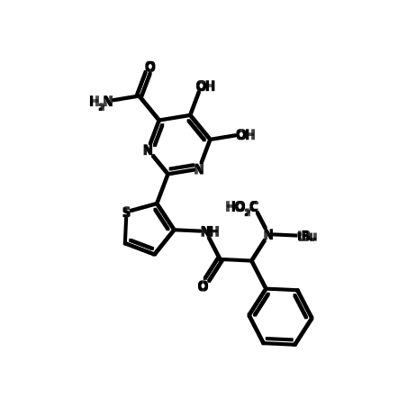 CC(C)(C)N(C(=O)O)C(C(=O)Nc1ccsc1-c1nc(O)c(O)c(C(N)=O)n1)c1ccccc1